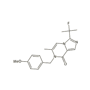 COc1ccc(Cn2c(C)cn3c(C(C)(C)F)ncc3c2=O)cc1